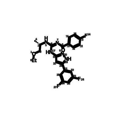 CCOC[C@H](C)N/C(=N/C(=O)c1ccc(F)cc1)Nc1cc(-c2cc(F)cc(F)c2)[nH]n1